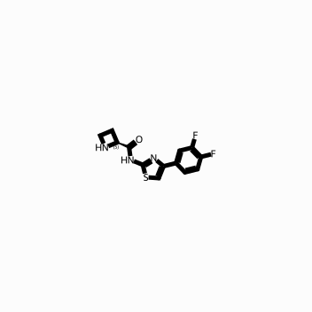 O=C(Nc1nc(-c2ccc(F)c(F)c2)cs1)[C@@H]1CCN1